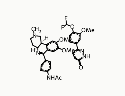 COc1cc(-c2ccc(=O)[nH]n2)ccc1OC(F)F.COc1cc2c(cc1OC)[C@@H]1CN(C)CC[C@@H]1N=C2c1ccc(NC(C)=O)cc1